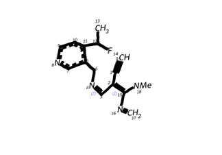 C#CC(/C=N\Cc1cnccc1C(C)F)=C(/N=C)NC